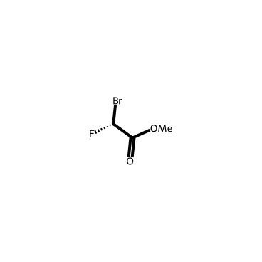 COC(=O)[C@H](F)Br